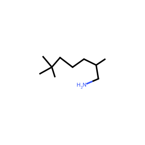 CC(CN)CCCC(C)(C)C